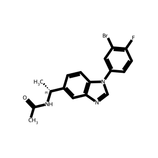 CC(=O)N[C@H](C)c1ccc2c(c1)ncn2-c1ccc(F)c(Br)c1